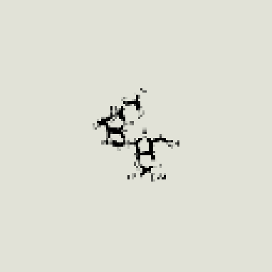 CCCC[C@@]1(CCC)OC2C(CO)O[C@@H](n3cnc4c(=O)[nH]c(NC(=O)C(C)C)nc43)C2O1